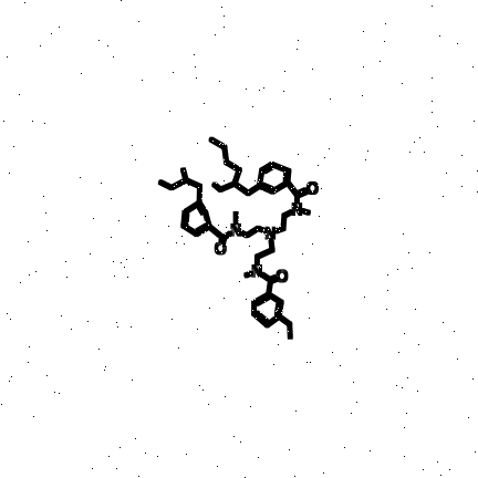 CCCCC(CC)Cc1cccc(C(=O)N(C)CCN(CCN(C)C(=O)c2cccc(CC)c2)CCN(C)C(=O)c2cccc(CC(C)CC)c2)c1